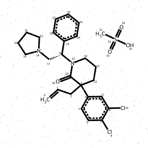 C=CCC1(c2ccc(Cl)c(Cl)c2)CCCN([C@H](CN2CCCC2)c2ccccc2)C1=O.CS(=O)(=O)O